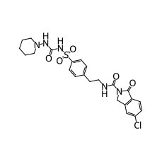 O=C(NN1CCCCC1)NS(=O)(=O)c1ccc(CCNC(=O)N2Cc3cc(Cl)ccc3C2=O)cc1